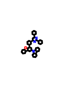 c1ccc(-c2cc(-c3cccc(-c4cc(-n5c6ccccc6c6ccccc65)cc5c4oc4ccccc45)c3)nc(-c3ccccc3)n2)cc1